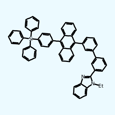 CCn1c(-c2cccc(-c3cccc(-c4c5ccccc5c(-c5ccc([Si](c6ccccc6)(c6ccccc6)c6ccccc6)cc5)c5ccccc45)c3)c2)nc2ccccc21